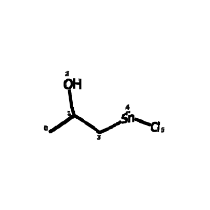 CC(O)[CH2][Sn][Cl]